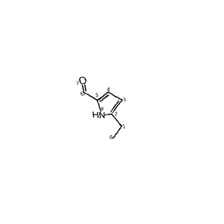 CCc1ccc([C]=O)[nH]1